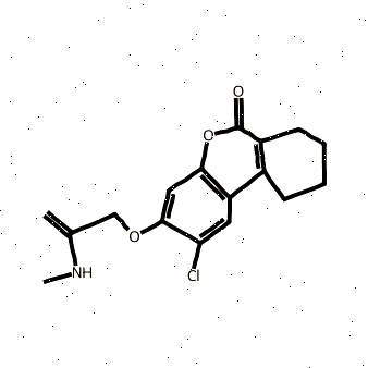 C=C(COc1cc2oc(=O)c3c(c2cc1Cl)CCCC3)NC